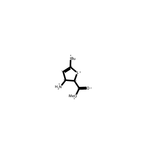 COC(=O)C1SC(C(C)(C)C)=CC1N